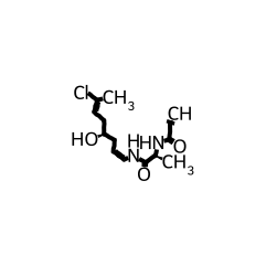 C#CC(=O)N[C@@H](C)C(=O)N/C=C\C[C@@H](O)C/C=C(\C)Cl